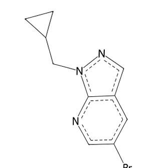 Brc1cnc2c(cnn2CC2CC2)c1